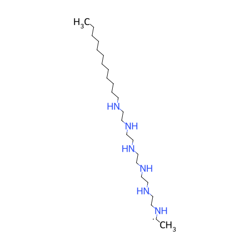 C[CH]NCCNCCNCCNCCNCCNCCCCCCCCCCCC